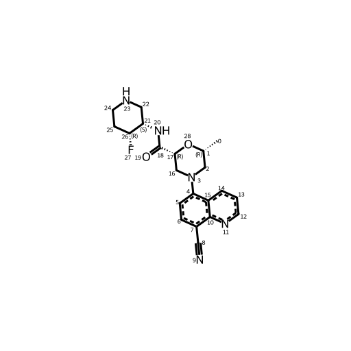 C[C@@H]1CN(c2ccc(C#N)c3ncccc23)C[C@H](C(=O)N[C@H]2CNCC[C@H]2F)O1